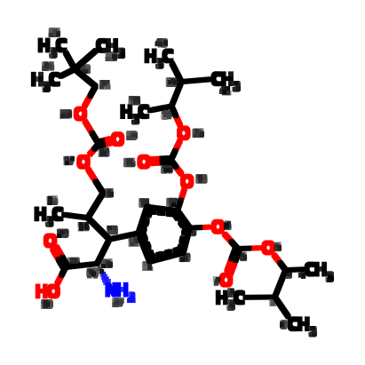 CC(C)C(C)OC(=O)Oc1ccc(C(C(C)COC(=O)OCC(C)(C)C)[C@H](N)C(=O)O)cc1OC(=O)OC(C)C(C)C